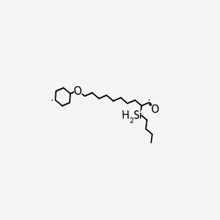 CCCC[SiH2]C([C]=O)CCCCCCCCOC1CC[CH]CC1